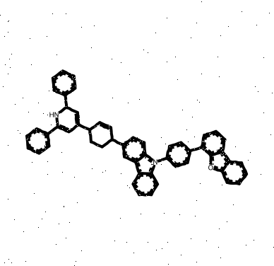 C1=CC(c2ccc3c(c2)c2ccccc2n3-c2ccc(-c3cccc4c3oc3ccccc34)cc2)CCC1C1=CC(c2ccccc2)NC(c2ccccc2)=C1